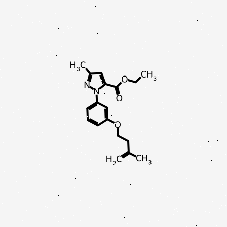 C=C(C)CCOc1cccc(-n2nc(C)cc2C(=O)OCC)c1